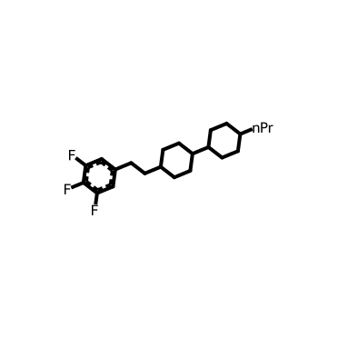 CCCC1CCC(C2CCC(CCc3cc(F)c(F)c(F)c3)CC2)CC1